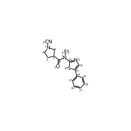 CCN(C(=O)C1CCN(C#N)C1)c1ncc(-c2ccccc2)s1